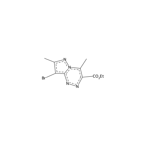 CCOC(=O)c1nnc2c(Br)c(C)nn2c1C